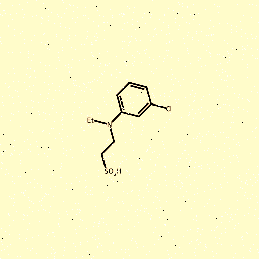 CCN(CCS(=O)(=O)O)c1cccc(Cl)c1